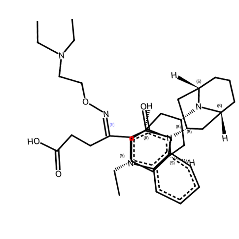 CC[C@@H]1C[C@@H]2C[C@H](C1)C[C@@H](N1[C@@H]3CCC[C@H]1C[C@@H](n1c(=O)c(/C(CCC(=O)O)=N/OCCN(CC)CC)nc4ccccc41)C3)C2